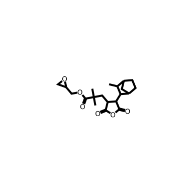 CC1C2CCC(C2)C1C1C(=O)OC(=O)C1CC(C)(C)C(=O)OCC1CO1